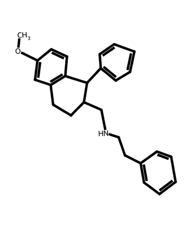 COc1ccc2c(c1)CCC(CNCCc1ccccc1)C2c1ccccc1